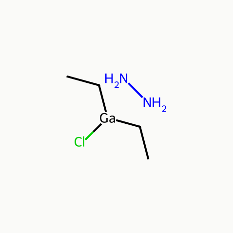 C[CH2][Ga]([Cl])[CH2]C.NN